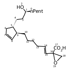 CCCCC[C@H](O)CC[C@H]1CC=C[C@@H]1CCCCC=CC1(C(=O)O)CO1